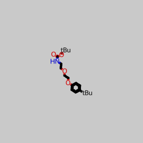 CC(C)(C)OC(=O)NCCOCCOc1ccc(C(C)(C)C)cc1